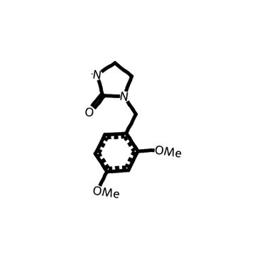 COc1ccc(CN2CC[N]C2=O)c(OC)c1